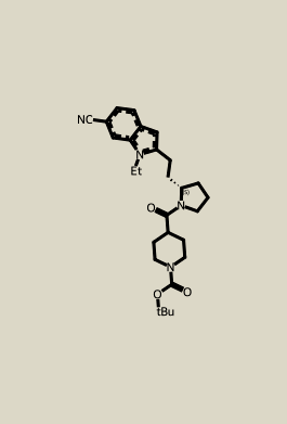 CCn1c(CC[C@@H]2CCCN2C(=O)C2CCN(C(=O)OC(C)(C)C)CC2)cc2ccc(C#N)cc21